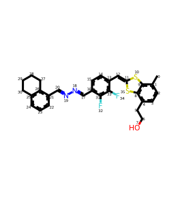 Cc1ccc(CCO)c2c1S/C(=C/c1ccc(/C=N/N=C/c3cccc4c3CCCC4)c(F)c1F)S2